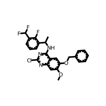 COc1cc2nc(Cl)nc(NC(C)c3cccc(C(F)F)c3F)c2cc1OCc1ccccc1